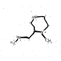 CNCC1CNCCN1C